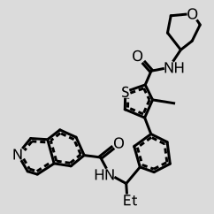 CCC(NC(=O)c1ccc2cnccc2c1)c1cccc(-c2csc(C(=O)NC3CCOCC3)c2C)c1